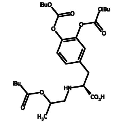 CCC(C)C(=O)OC(C)CN[C@@H](Cc1ccc(OC(=O)OCC(C)C)c(OC(=O)OCC(C)C)c1)C(=O)O